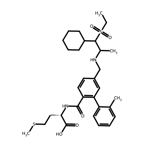 CCS(=O)(=O)C(C1CCCCC1)C(C)NCc1ccc(C(=O)N[C@@H](CCSC)C(=O)O)c(-c2ccccc2C)c1